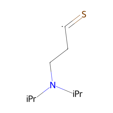 CC(C)N(CC[C]=S)C(C)C